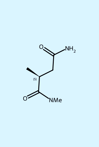 CNC(=O)[C@@H](C)CC(N)=O